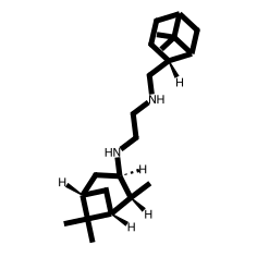 C[C@@H]1[C@H]2C[C@@H](C[C@H]1NCCNC[C@@H]1CCC3CC1C3(C)C)C2(C)C